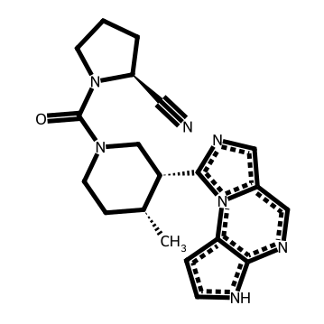 C[C@@H]1CCN(C(=O)N2CCC[C@H]2C#N)C[C@@H]1c1ncc2cnc3[nH]ccc3n12